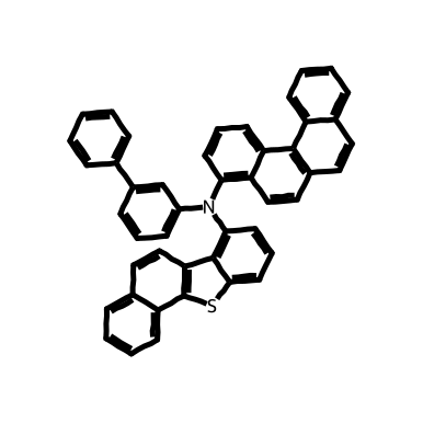 c1ccc(-c2cccc(N(c3cccc4c3ccc3ccc5ccccc5c34)c3cccc4sc5c6ccccc6ccc5c34)c2)cc1